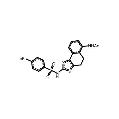 CCCc1ccc(S(=O)(=O)Nc2nc3c(s2)CCc2c(NC(C)=O)cccc2-3)cc1